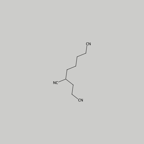 N#CCCCCC(C#N)CCC#N